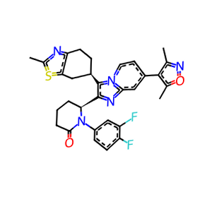 Cc1nc2c(s1)C[C@H](c1c([C@@H]3CCCC(=O)N3c3ccc(F)c(F)c3)nc3cc(-c4c(C)noc4C)ccn13)CC2